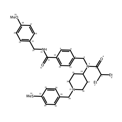 CCC(CC)C(=O)N(Cc1ccc(C(=O)NCc2ccc(OC)cc2)cc1)C1CCN(Cc2ccc(SC)cc2)CC1